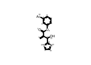 C=C(C(=O)Oc1cccc(C(C)=O)c1)C(O)c1nccs1